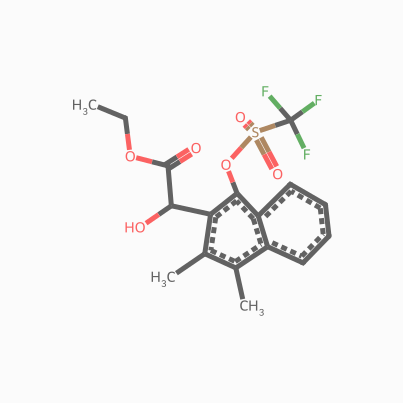 CCOC(=O)C(O)c1c(C)c(C)c2ccccc2c1OS(=O)(=O)C(F)(F)F